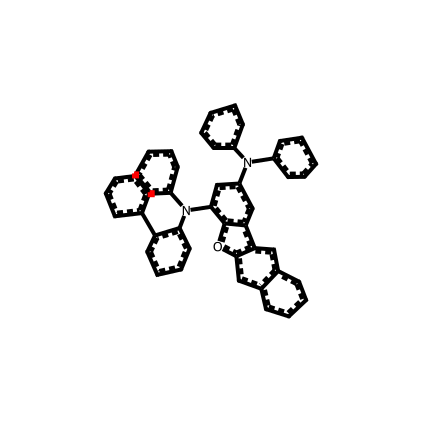 c1ccc(-c2ccccc2N(c2ccccc2)c2cc(N(c3ccccc3)c3ccccc3)cc3c2oc2cc4ccccc4cc23)cc1